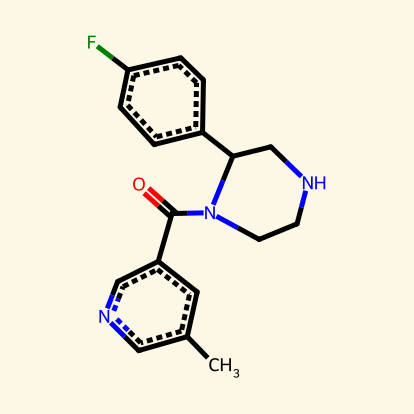 Cc1cncc(C(=O)N2CCNCC2c2ccc(F)cc2)c1